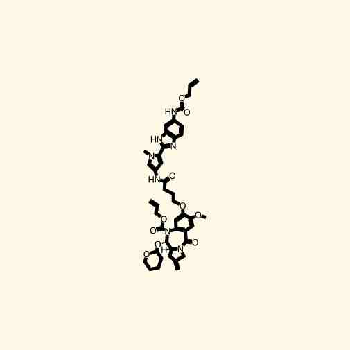 C=CCOC(=O)Nc1ccc2nc(-c3cc(NC(=O)CCCOc4cc5c(cc4OC)C(=O)N4CC(=C)C[C@H]4[C@H](OC4CCCCO4)N5C(=O)OCC=C)cn3C)[nH]c2c1